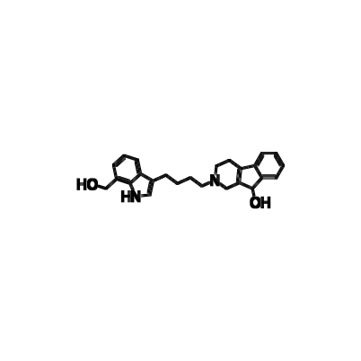 OCc1cccc2c(CCCCN3CCC4=C(C3)C(O)c3ccccc34)c[nH]c12